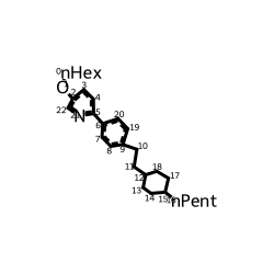 CCCCCCOc1ccc(-c2ccc(CCC3CCC(CCCCC)CC3)cc2)nc1